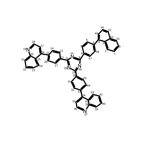 c1ccc2c(-c3ccc(-c4nc(-c5ccc(-c6ccnc7ccccc67)cc5)nc(-c5ccc(-c6ccnc7ccccc67)cc5)n4)cc3)cccc2c1